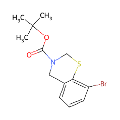 CC(C)(C)OC(=O)N1CSc2c(Br)cccc2C1